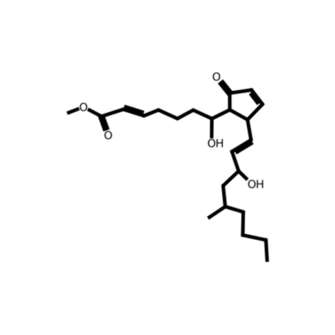 CCCCC(C)CC(O)/C=C/C1C=CC(=O)C1C(O)CCC/C=C/C(=O)OC